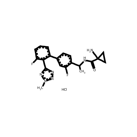 CC(NC(=O)C1(N)CC1)c1ccc(-c2cccc(F)c2-c2nnn(C)n2)cc1F.Cl